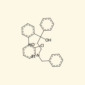 CCN(Cc1ccccc1)C[C@H](O)C(O)(c1ccccc1)c1ccccc1-c1ccccc1Cl